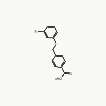 COC(=O)c1ccc(COc2cccc(C(C)(C)C)c2)cc1